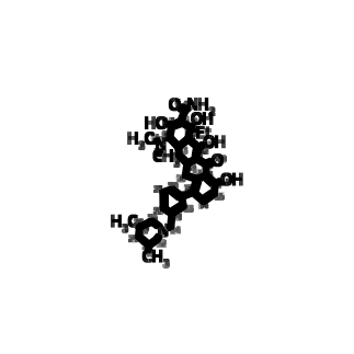 CC[C@]1(O)C(C(N)=O)=C(O)[C@@H](N(C)C)C2CC3Cc4c(-c5cccc(CN6CC(C)CC(C)C6)c5)ccc(O)c4C(=O)C3=C(O)C21